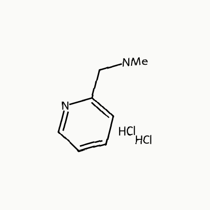 CNCc1ccccn1.Cl.Cl